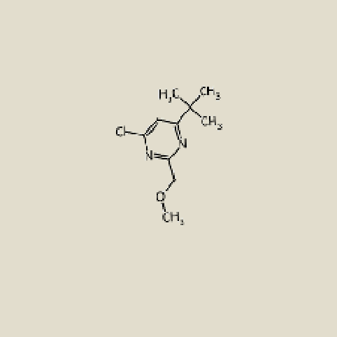 COCc1nc(Cl)cc(C(C)(C)C)n1